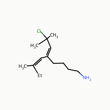 CC/C(C)=C\C(=C/C(C)(C)Cl)CCCCN